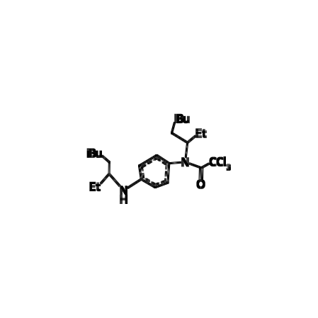 CCC(C)CC(CC)Nc1ccc(N(C(=O)C(Cl)(Cl)Cl)C(CC)CC(C)CC)cc1